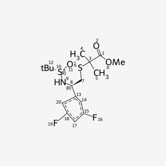 COC(=O)C(C)(C)SC[C@H](N[S@@+]([O-])C(C)(C)C)c1cc(F)cc(F)c1